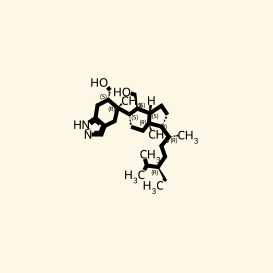 CC[C@H](CC[C@@H](C)[C@H]1CC[C@H]2[C@H](CO)[C@@H]([C@@]3(C)Cc4cn[nH]c4C[C@@H]3CO)CC[C@]12C)C(C)C